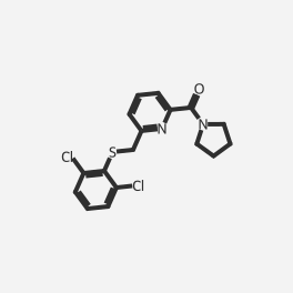 O=C(c1cccc(CSc2c(Cl)cccc2Cl)n1)N1CCCC1